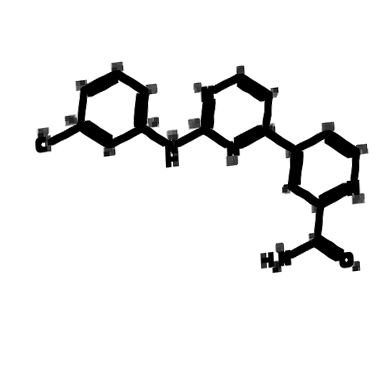 NC(=O)c1cc(-c2ccnc(Nc3cccc(Cl)c3)n2)ccn1